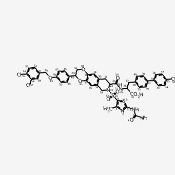 Cc1nc(NC(=O)C(C)C)sc1S(=O)(=O)N1Cc2cc3c(cc2CC1C(=O)NC(Cc1ccc(-c2ccc(C#N)cc2)cc1)C(=O)O)OCC(c1ccc(OCc2ccc(Cl)c(Cl)c2)cc1)O3